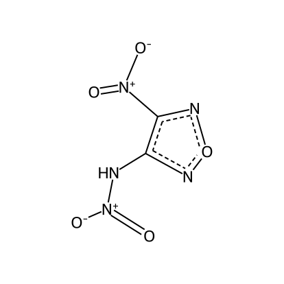 O=[N+]([O-])Nc1nonc1[N+](=O)[O-]